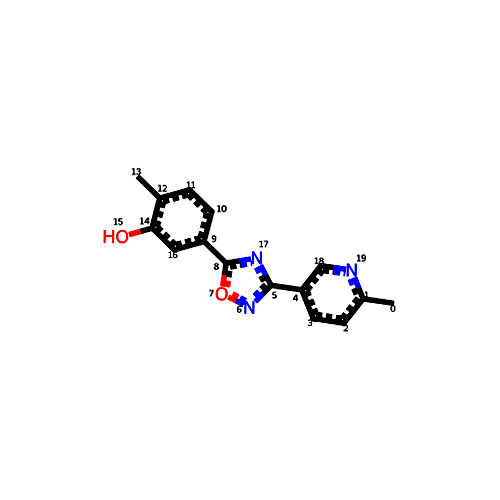 Cc1ccc(-c2noc(-c3ccc(C)c(O)c3)n2)cn1